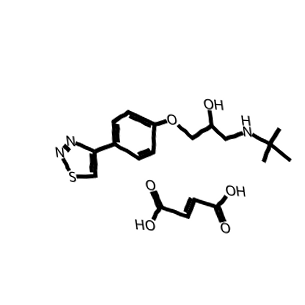 CC(C)(C)NCC(O)COc1ccc(-c2csnn2)cc1.O=C(O)C=CC(=O)O